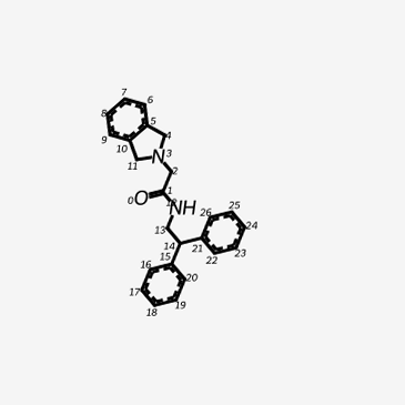 O=C(CN1Cc2ccccc2C1)NCC(c1ccccc1)c1ccccc1